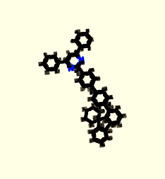 c1ccc(-c2cc(-c3ccccc3)nc(-c3ccc(-c4ccc(-c5cccc6c5C5(CCCCC5)c5ccccc5-6)cc4)cc3)n2)cc1